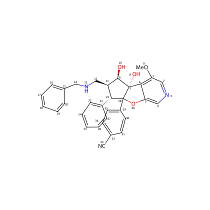 COc1cncc2c1[C@]1(O)[C@H](O)[C@H](CNCc3ccccc3)[C@@H](c3ccccc3)C1(c1ccc(C#N)cc1)O2